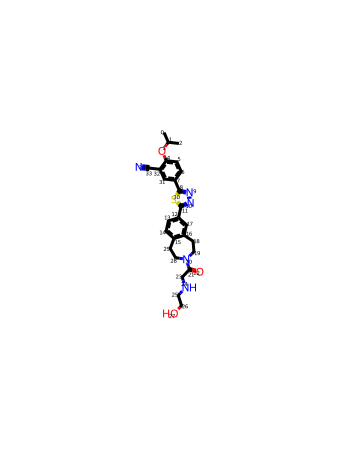 CC(C)Oc1ccc(-c2nnc(-c3ccc4c(c3)CCN(C(=O)CNCCO)CC4)s2)cc1C#N